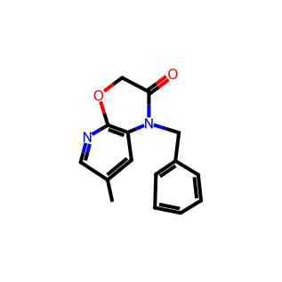 Cc1cnc2c(c1)N(Cc1ccccc1)C(=O)CO2